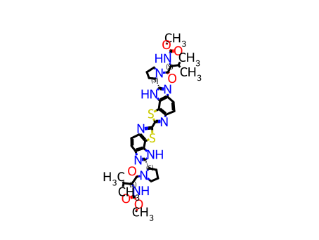 COC(=O)N[C@H](C(=O)N1CCC[C@H]1c1nc2ccc3nc(-c4nc5ccc6nc([C@@H]7CCCN7C(=O)[C@@H](NC(=O)OC)C(C)C)[nH]c6c5s4)sc3c2[nH]1)C(C)C